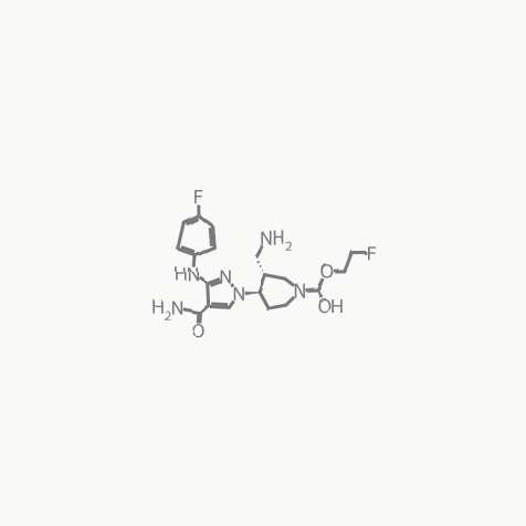 NC[C@@H]1CN([C@H](O)OCCF)CC[C@H]1n1cc(C(N)=O)c(Nc2ccc(F)cc2)n1